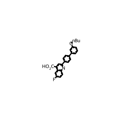 CCCCOc1cccc(-c2ccc(-c3cc(C(=O)O)c4cc(F)ccc4n3)cc2)c1